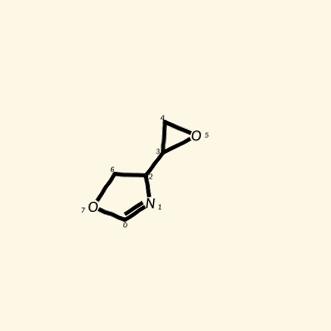 C1=NC(C2CO2)CO1